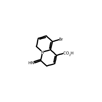 N=C1CC=C(C(=O)O)C2=C(Br)C=CCN12